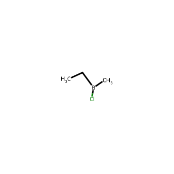 CCB(C)Cl